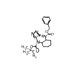 CC(C)(C)OC(=O)N(C1CCCCC1NC(=O)OCc1ccccc1)n1cnnc1